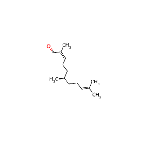 CC(C)=CCC[C@@H](C)CCC=C(C)C=O